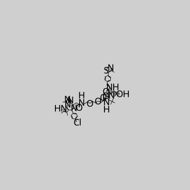 Cc1ncsc1-c1ccc(CNC(=O)[C@@H]2C[C@@H](O)CN2C(=O)C(NC(=O)COCCOCCNC(=O)CC2N=C(c3ccc(Cl)cc3)c3c([nH]c(C)c3C)-n3c(C)nnc32)C(C)(C)C)cc1